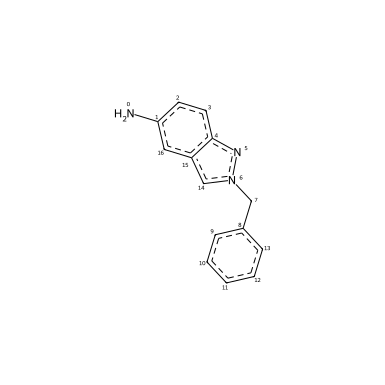 Nc1ccc2nn(Cc3ccccc3)cc2c1